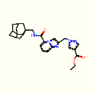 CCOC(=O)c1cnn(Cc2cn3c(C(=O)NCC45CC6CC7CC(C4)C7(C6)C5)cccc3n2)c1